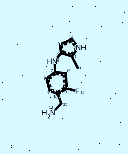 Cc1[nH]ccc1Nc1ccc(CN)c(F)c1